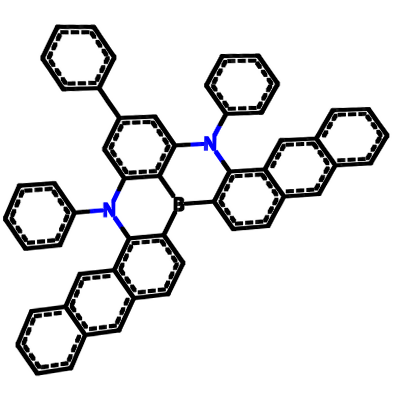 c1ccc(-c2cc3c4c(c2)N(c2ccccc2)c2c(ccc5cc6ccccc6cc25)B4c2ccc4cc5ccccc5cc4c2N3c2ccccc2)cc1